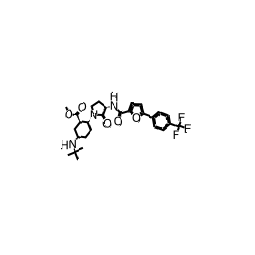 COC(=O)[C@@H]1C[C@H](NC(C)(C)C)CC[C@@H]1N1CC[C@H](NC(=O)c2ccc(-c3ccc(C(F)(F)F)cc3)o2)C1=O